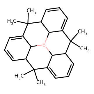 CC1(C)C2=CC=CC3C2B2C4C(=CC=CC41)C(C)(C)C1C=CC=C(C21)C3(C)C